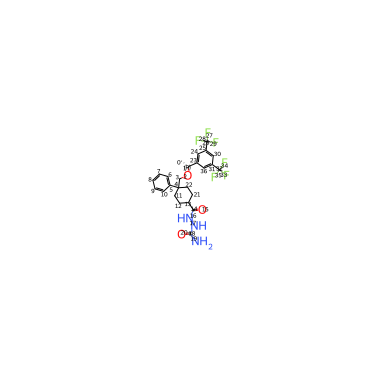 C[C@@H](OCC1(c2ccccc2)CCC(C(=O)NNC(N)=O)CC1)c1cc(C(F)(F)F)cc(C(F)(F)F)c1